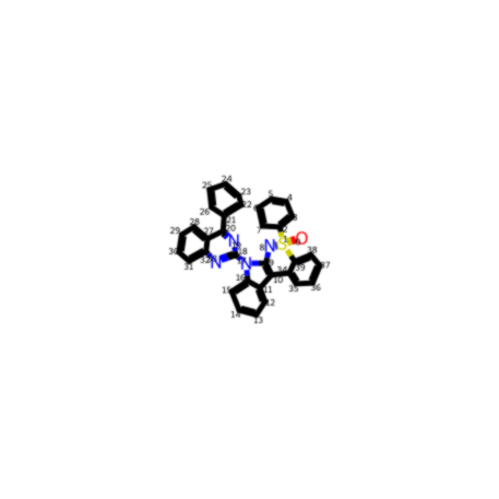 O=S1(c2ccccc2)=Nc2c(c3ccccc3n2-c2nc(-c3ccccc3)c3ccccc3n2)-c2ccccc21